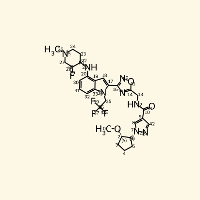 CO[C@H]1CCC[C@H]1n1cc(C(=O)NCc2nc(-c3cc4c(N[C@@H]5CCN(C)C[C@@H]5F)cccc4n3CC(F)(F)F)no2)cn1